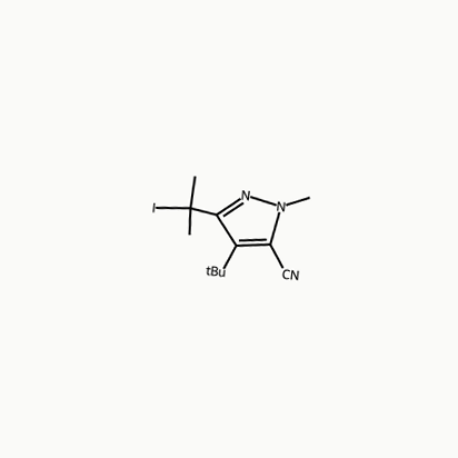 Cn1nc(C(C)(C)I)c(C(C)(C)C)c1C#N